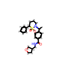 CC(c1ccc(C(=O)NCC2CCOC2)cc1)N1CCCC(c2ccccc2)S1(=O)=O